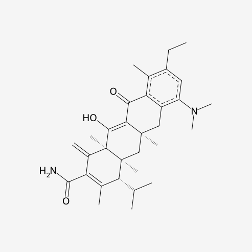 C=C1C(C(N)=O)=C(C)[C@@H](C(C)C)[C@]2(C)C[C@]3(C)Cc4c(N(C)C)cc(CC)c(C)c4C(=O)C3=C(O)[C@]12C